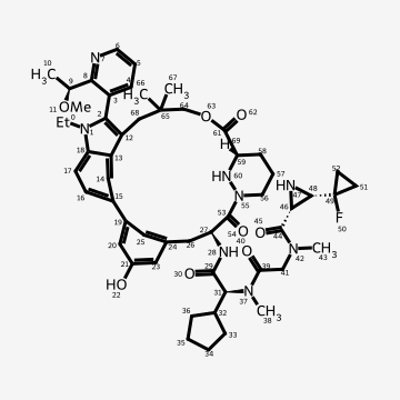 CCn1c(-c2cccnc2[C@H](C)OC)c2c3cc(ccc31)-c1cc(O)cc(c1)C[C@H](NC(=O)[C@H](C1CCCC1)N(C)C(=O)CN(C)C(=O)[C@@H]1N[C@@H]1C1(F)CC1)C(=O)N1CCC[C@H](N1)C(=O)OCC(C)(C)C2